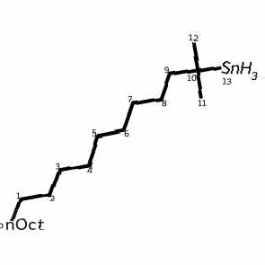 CCCCCCCCCCCCCCCCC[C](C)(C)[SnH3]